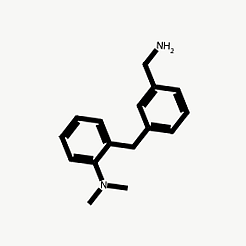 CN(C)c1c[c]ccc1Cc1cccc(CN)c1